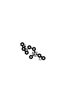 c1ccc(-c2nc(-c3cccc(-c4cccc(-n5c6ccccc6c6ccc7c8ccccc8sc7c65)c4)c3)nc(-c3ccc4c(c3)oc3ccccc34)n2)cc1